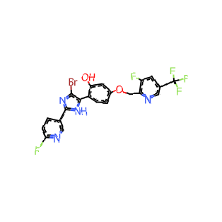 Oc1cc(OCc2ncc(C(F)(F)F)cc2F)ccc1-c1[nH]c(-c2ccc(F)nc2)nc1Br